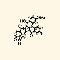 CC[C@@]1(O)C(=O)OCc2c1cc1n(c2=O)Cc2c-1c(=O)c1cc(F)ccc1n2-c1cc(OC)ccc1CO